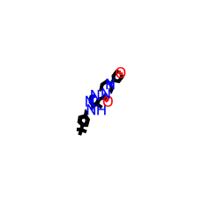 Cc1c(NCc2ccc(C(C)(C)C)cc2)ncnc1C(=O)N1CCCN(C2CCOCC2)CC1